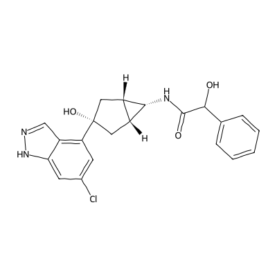 O=C(N[C@@H]1[C@@H]2C[C@@](O)(c3cc(Cl)cc4[nH]ncc34)C[C@@H]21)C(O)c1ccccc1